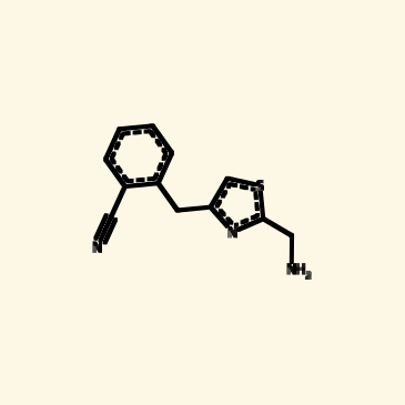 N#Cc1ccccc1Cc1csc(CN)n1